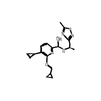 Cc1nc([C@@H](C)NC(O)c2ccc(C3CC3)c(OCC3CC3)n2)no1